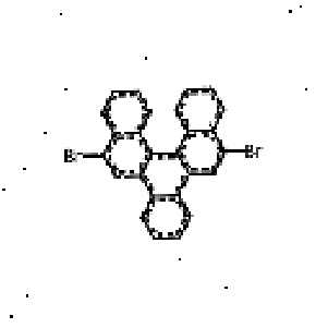 Brc1cc2c3ccccc3c3cc(Br)c4ccccc4c3c2c2ccccc12